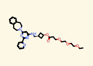 CCOCCOCCOCCC(=O)O[C@H]1C[C@@H](CNc2cc(N3CCc4ccccc4CC3)nc(-c3ccccn3)n2)C1